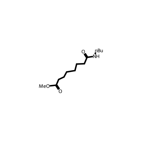 CCCCNC(=O)CCCCCCC(=O)OC